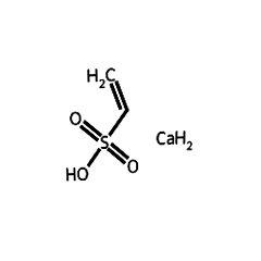 C=CS(=O)(=O)O.[CaH2]